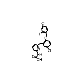 O=C(O)Nc1cccc(Cc2cc(Cl)ccc2OCc2ccc(Cl)cc2F)n1